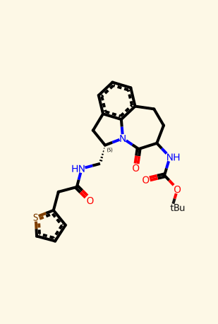 CC(C)(C)OC(=O)NC1CCc2cccc3c2N(C1=O)[C@H](CNC(=O)Cc1cccs1)C3